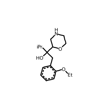 CCOc1ccccc1CC(O)(C(C)C)C1CNCCO1